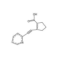 O=C(O)C1=C(C#Cc2ccccn2)CCC1